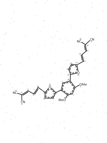 COc1cc(OC)c(-c2ccc(/C=C/C=C(C#N)C#N)o2)cc1-c1ccc(/C=C/C=C(C#N)C#N)o1